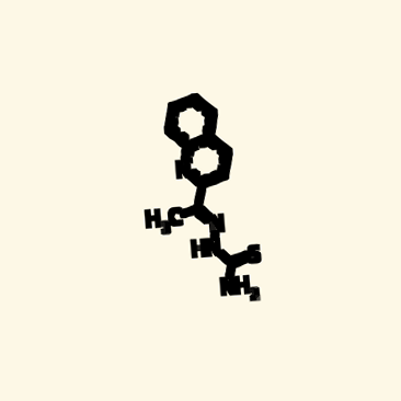 CC(=NNC(N)=S)c1ccc2ccccc2n1